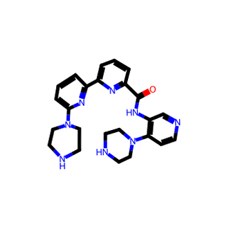 O=C(Nc1cnccc1N1CCNCC1)c1cccc(-c2cccc(N3CCNCC3)n2)n1